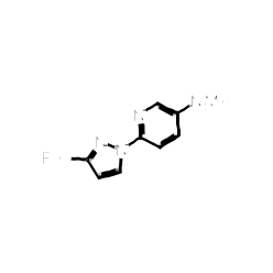 CNc1ccc(-n2ccc(C(F)(F)F)n2)nc1